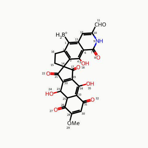 Bc1c2c(c(O)c3c(=O)[nH]c(C=O)cc13)C1(CC2)C(=O)C2=C(C1=O)C(O)C1C(=O)C(OC)=CC(=O)C1=C2O